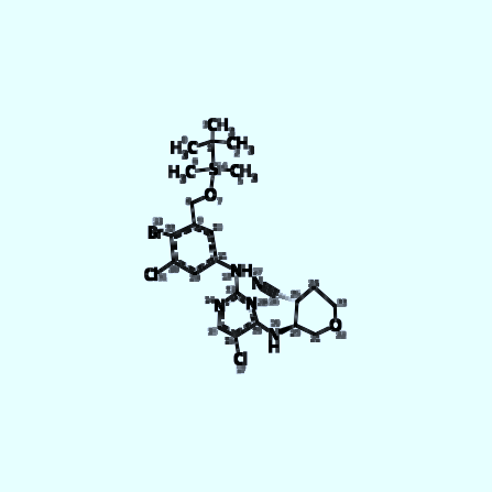 CC(C)(C)[Si](C)(C)OCc1cc(Nc2ncc(Cl)c(N[C@@H]3COCC[C@H]3C#N)n2)cc(Cl)c1Br